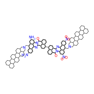 Nc1ccc2c(c1)c(CN1CC3CCC4C5CCC6C7CCCC8CCCC(C9CCC(C%10CCC(C1)C3C4%10)C5C69)C87)c1cc(N)cc3c1c2nc1c2ccc(-c4ccc5c6c4cccc6c(=O)n4c6cc([N+](=O)[O-])cc7c(CN8CC9CCC%10C%11CCC%12C%13CCCC%14CCCC(C%15CCC(C%16CCC(C8)C9C%10%16)C%11C%12%15)C%14%13)c8cc([N+](=O)[O-])ccc8c(nc54)c76)c4cccc(c(=O)n31)c42